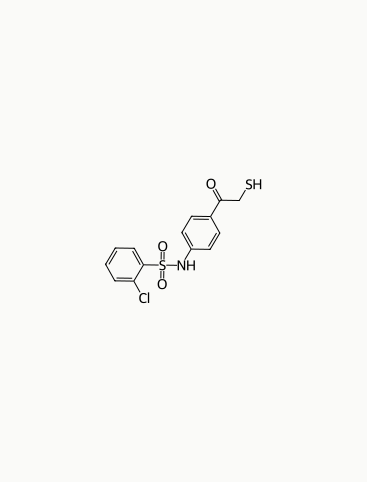 O=C(CS)c1ccc(NS(=O)(=O)c2ccccc2Cl)cc1